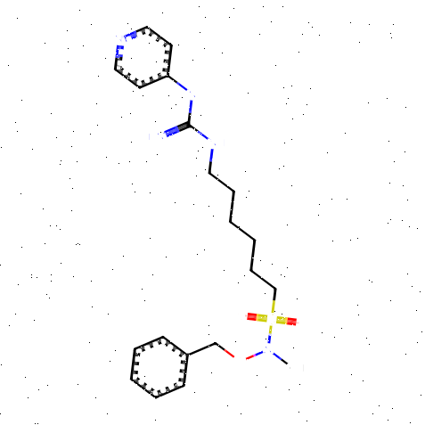 CN(OCc1ccccc1)S(=O)(=O)CCCCCCNC(=N)Nc1ccncc1